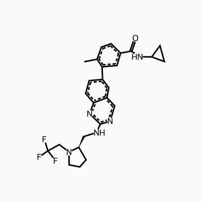 Cc1ccc(C(=O)NC2CC2)cc1-c1ccc2nc(NC[C@H]3CCCN3CC(F)(F)F)ncc2c1